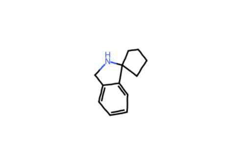 c1ccc2c(c1)CNC21CCCC1